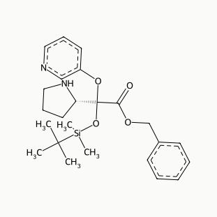 CC(C)(C)[Si](C)(C)OC(Oc1cccnc1)(C(=O)OCc1ccccc1)[C@@H]1CCCN1